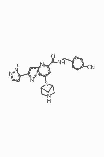 Cn1nccc1-c1cc2nc(C(=O)NCc3ccc(C#N)cc3)cc(N3C4CNCC3C4)n2n1